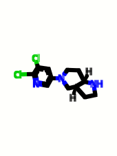 Clc1cc(N2CC[C@@H]3NCC[C@@H]3C2)cnc1Cl